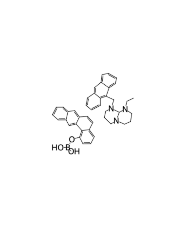 CCN1CCCN2CCCN(Cc3c4ccccc4cc4ccccc34)C12.OB(O)Oc1cccc2ccc3cc4ccccc4cc3c12